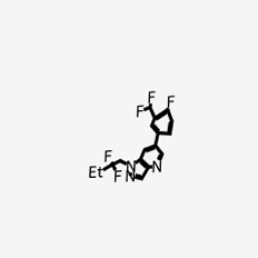 CCC(F)(F)Cn1ncc2ncc(-c3ccc(F)c(C(F)F)c3)cc21